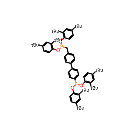 CC(C)(C)c1ccc(OP(Cc2ccc(-c3ccc(P(Oc4ccc(C(C)(C)C)cc4C(C)(C)C)Oc4ccc(C(C)(C)C)cc4C(C)(C)C)cc3)cc2)Oc2ccc(C(C)(C)C)cc2C(C)(C)C)c(C(C)(C)C)c1